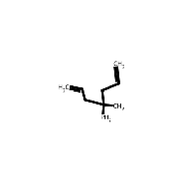 C=CCC(C)(P)CC=C